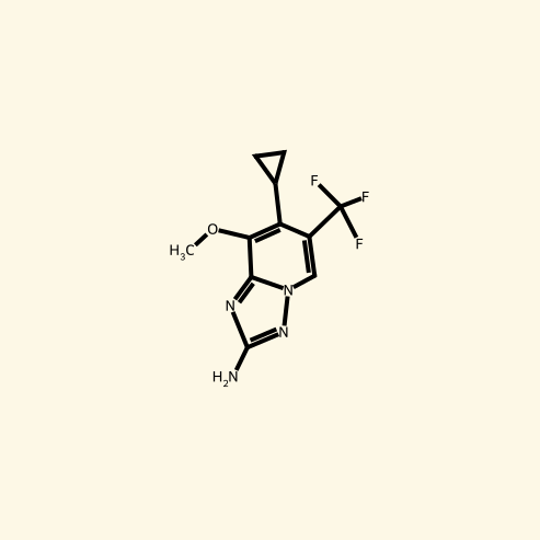 COc1c(C2CC2)c(C(F)(F)F)cn2nc(N)nc12